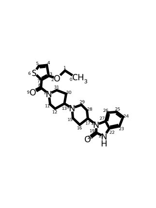 CCOc1ccsc1C(=O)N1CCC(N2CCC(n3c(=O)[nH]c4ccccc43)CC2)CC1